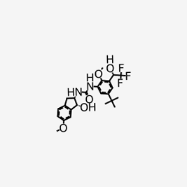 COc1ccc2c(c1)[C@@H](O)[C@@H](NC(=O)Nc1cc(C(C)(C)C)cc([C@@H](O)C(F)(F)F)c1OC)C2